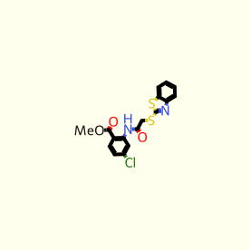 COC(=O)c1ccc(Cl)cc1NC(=O)CSc1nc2ccccc2s1